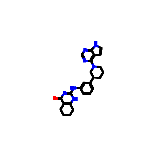 O=c1nc(Nc2cccc(C3CCCN(c4ncnc5[nH]ccc45)C3)c2)[nH]c2c1CCCC2